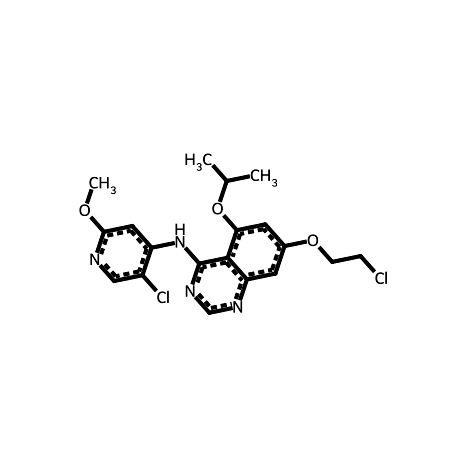 COc1cc(Nc2ncnc3cc(OCCCl)cc(OC(C)C)c23)c(Cl)cn1